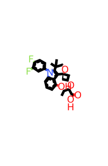 CCC(O[C@H]1C[C@]2(C1)OCC(C)(C)c1c2c2c(O)cccc2n1-c1ccc(F)c(F)c1)C(=O)O